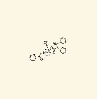 O=C(C[N+]12CCC(CC1)[C@@H](OC(=O)C(Nc1ccccc1)c1ccccc1)C2)c1ccccc1.[Cl-]